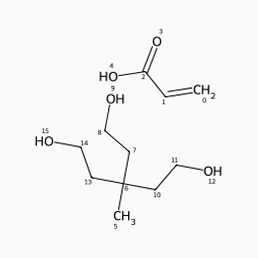 C=CC(=O)O.CC(CCO)(CCO)CCO